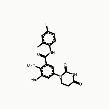 COc1c(C(=O)Nc2ccc(F)cc2C)cc(N2CCC(=O)NC2=O)cc1C(C)(C)C